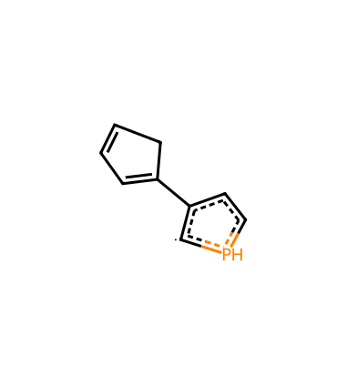 [c]1[pH]ccc1C1=CC=CC1